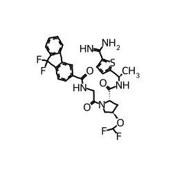 C[C@@H](NC(=O)[C@@H]1C[C@@H](OC(F)F)CN1C(=O)CNC(=O)c1ccc2c(c1)-c1ccccc1C2(F)F)c1ccc(C(=N)N)s1